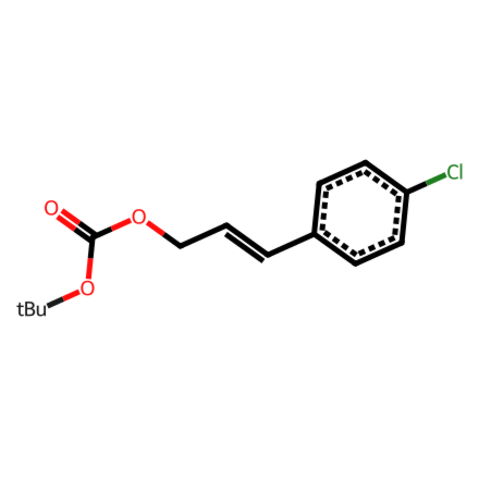 CC(C)(C)OC(=O)OCC=Cc1ccc(Cl)cc1